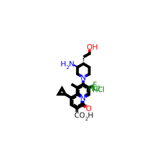 Cc1c(N2CC[C@@H](CCO)[C@H](N)C2)c(F)cn2c(=O)c(C(=O)O)cc(C3CC3)c12.Cl.Cl